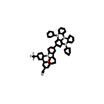 N#Cc1cccc(-c2cc(C(F)(F)F)ccc2-n2c3ccccc3c3cc(-c4cc5c6c(c4)N(c4ccccc4)c4ccccc4B6c4ccccc4N5c4ccccc4)ccc32)c1